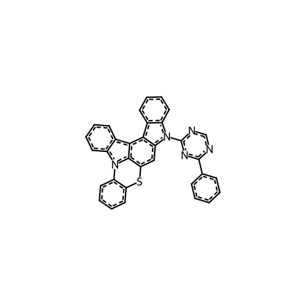 c1ccc(-c2ncnc(-n3c4ccccc4c4c5c6ccccc6n6c5c(cc43)Sc3ccccc3-6)n2)cc1